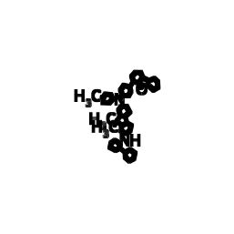 Cc1ccc(N(c2ccc(-c3cccc4c3oc3ccccc34)cc2)c2ccc3c(c2)C(C)(C)c2cc(Nc4ccccc4-c4ccccc4)ccc2-3)cc1